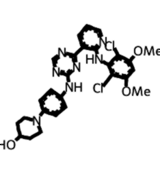 COc1cc(OC)c(Cl)c(Nc2ncccc2-c2ncnc(Nc3ccc(N4CCC(O)CC4)cc3)n2)c1Cl